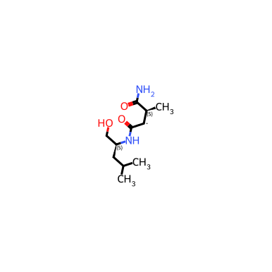 CC(C)C[C@@H](CO)NC(=O)[CH][C@H](C)C(N)=O